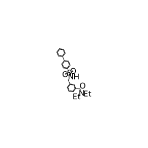 CCN(CC)C(=O)c1cccc(CNS(=O)(=O)c2ccc(-c3ccccc3)cc2)c1